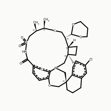 C[C@@H]1CS(=O)(=O)NC(=O)c2ccc3c(c2)N(C[C@@H]2CC[C@H]2[C@@H](C2OCCCO2)CC[C@@H]1C)C[C@@]1(CCCc2cc(Cl)ccc21)CO3